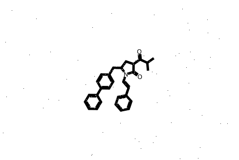 CC(C)C(=O)C1CC(Cc2ccc(-c3ccccc3)cc2)N(/C=C/c2ccccc2)C1=O